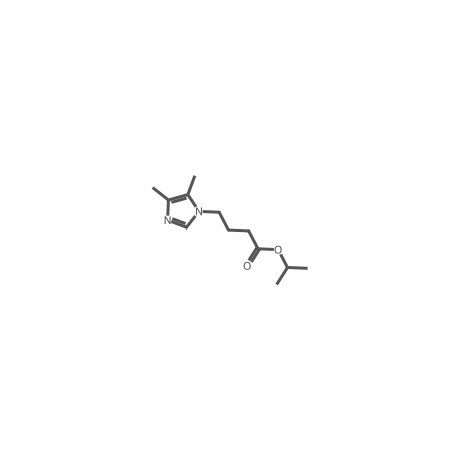 Cc1n[c]n(CCCC(=O)OC(C)C)c1C